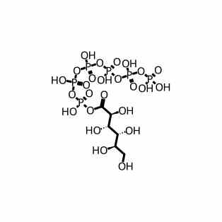 O=C(OP(=O)(O)OP(=O)(O)OP(=O)(O)OP(=O)(O)OP(=O)(O)OP(=O)(O)O)[C@@H](O)[C@@H](O)[C@H](O)[C@H](O)CO